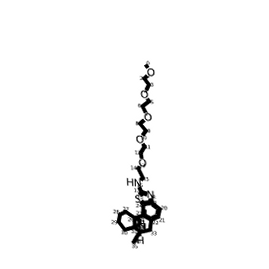 COCCOCCOCCOCCOCCNc1nc2ccc3c(c2s1)C12CCCC[C@H]1[C@@H](C3)N(C)CC2